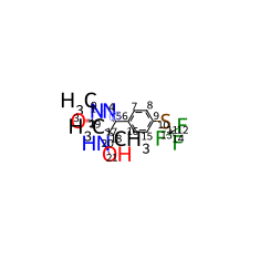 CN(C=O)/N=C(/c1ccc(SC(F)(F)F)cc1)C(C)(C)NO